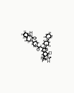 CNc1c(Cl)cc(CC(CC(=O)N2CCC(N3CCc4ccccc4NC3=O)CC2)C(=O)N2CCC(N3CCCCC3)CC2)cc1C(F)(F)F